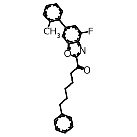 Cc1ccccc1-c1cc(F)c2nc(C(=O)CCCCCc3ccccc3)oc2c1